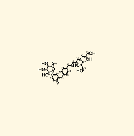 CS[C@H]1O[C@@H](c2ccc(C)c(Cc3ccc(CCCCCN(C[C@H](O)CO)C[C@H](O)CO)cc3)c2)[C@H](O)[C@@H](O)[C@@H]1O